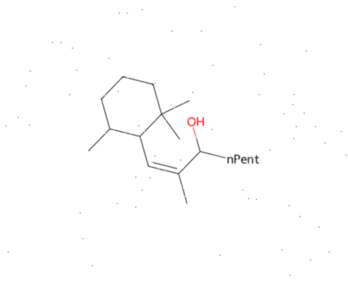 CCCCCC(O)C(C)=CC1C(C)CCCC1(C)C